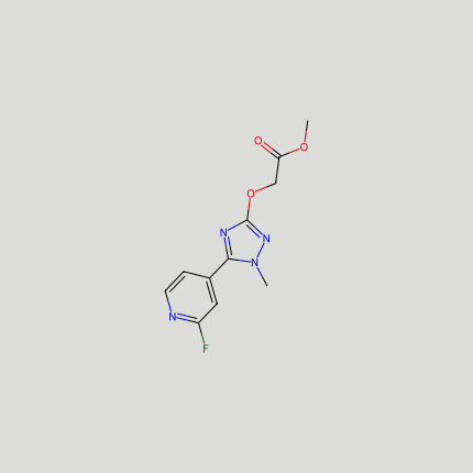 COC(=O)COc1nc(-c2ccnc(F)c2)n(C)n1